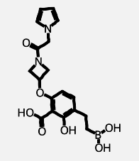 O=C(O)c1c(OC2CN(C(=O)Cn3cccc3)C2)ccc(CCB(O)O)c1O